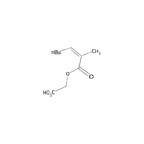 CCCCC=C(C)C(=O)OCC(=O)O